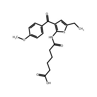 CCc1cc(C(=O)c2ccc(OC)cc2)c(NC(=O)CCCCC(=O)O)s1